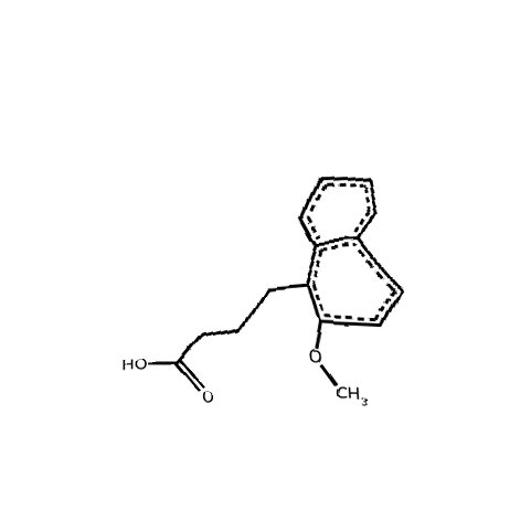 COc1ccc2ccccc2c1CCCC(=O)O